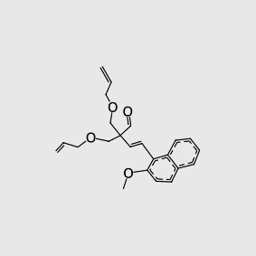 C=CCOCC(C=O)(C=Cc1c(OC)ccc2ccccc12)COCC=C